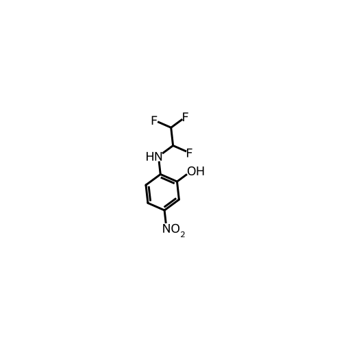 O=[N+]([O-])c1ccc(NC(F)C(F)F)c(O)c1